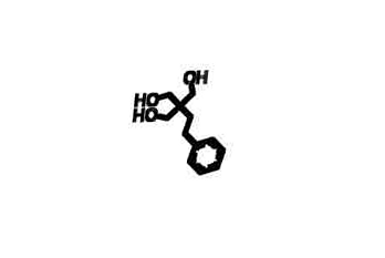 OCC(CO)(CO)CCc1ccccc1